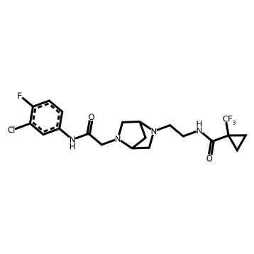 O=C(CN1CC2CC1CN2CCNC(=O)C1(C(F)(F)F)CC1)Nc1ccc(F)c(Cl)c1